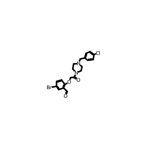 O=Cc1cc(Br)ccc1OCC(=O)N1CCN(Cc2ccc(Cl)cc2)CC1